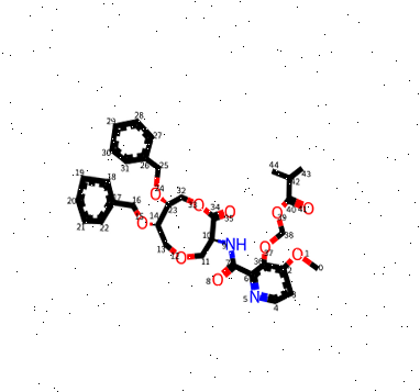 COc1ccnc(C(=O)N[C@H]2COC[C@H](OCc3ccccc3)[C@@H](OCc3ccccc3)COC2=O)c1OCOC(=O)C(C)C